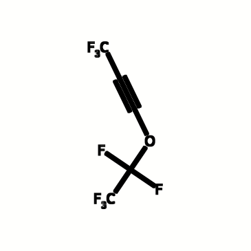 FC(F)(F)C#COC(F)(F)C(F)(F)F